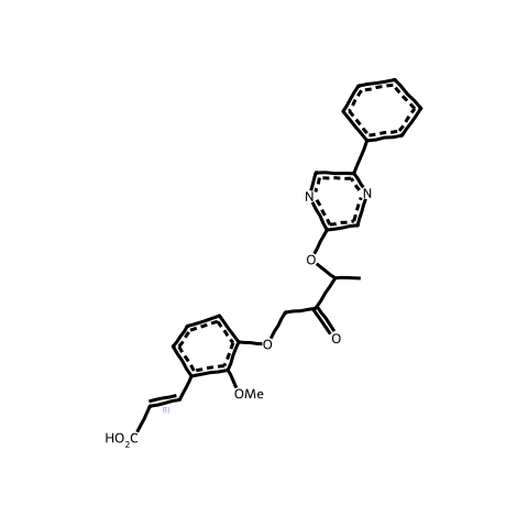 COc1c(/C=C/C(=O)O)cccc1OCC(=O)C(C)Oc1cnc(-c2ccccc2)cn1